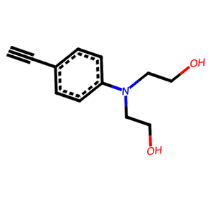 C#Cc1ccc(N(CCO)CCO)cc1